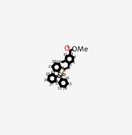 COC(=O)c1ccc(CCS[Si](c2ccccc2)(c2ccccc2)c2ccccc2)c(C)c1